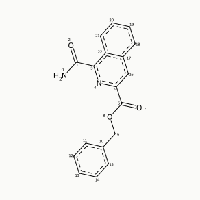 NC(=O)c1nc(C(=O)OCc2ccccc2)cc2ccccc12